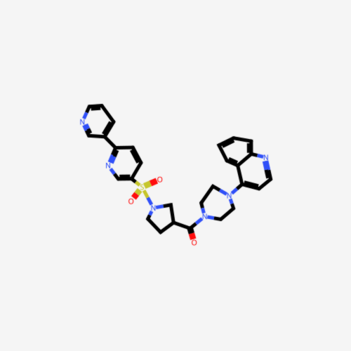 O=C(C1CCN(S(=O)(=O)c2ccc(-c3cccnc3)nc2)C1)N1CCN(c2ccnc3ccccc23)CC1